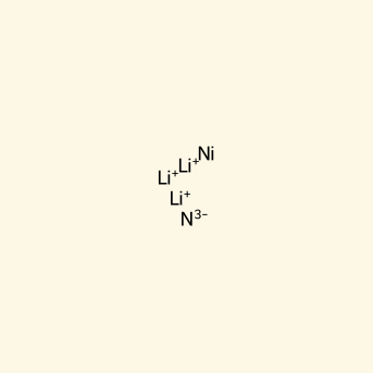 [Li+].[Li+].[Li+].[N-3].[Ni]